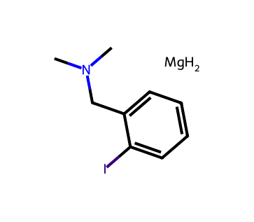 CN(C)Cc1ccccc1I.[MgH2]